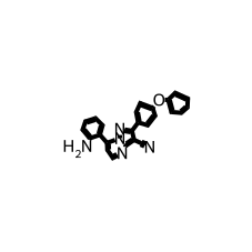 N#Cc1c(-c2ccc(Oc3ccccc3)cc2)nn2c(-c3ccccc3N)ccnc12